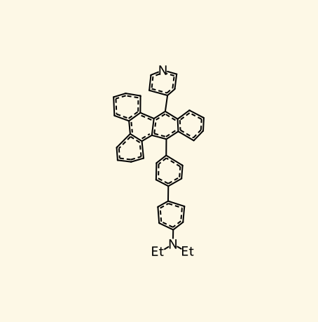 CCN(CC)c1ccc(-c2ccc(-c3c4ccccc4c(-c4ccncc4)c4c5ccccc5c5ccccc5c34)cc2)cc1